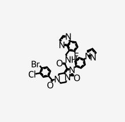 O=C(NCc1c(F)ccc2nccnc12)c1c2n(c(=O)n1-c1ccc(-n3cccn3)cc1)CCN(C(=O)c1ccc(Br)c(Cl)c1)C2